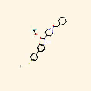 CS(=O)(=O)c1ccc(-c2ccc3c(c2)OC(OC(=O)C(F)(F)F)C(C2CCN(C(=O)CC4CCCCC4)CC2)N3)cc1